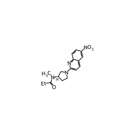 CCC(=O)N(C)[C@@H]1CCN(c2ccc3cc([N+](=O)[O-])ccc3n2)C1